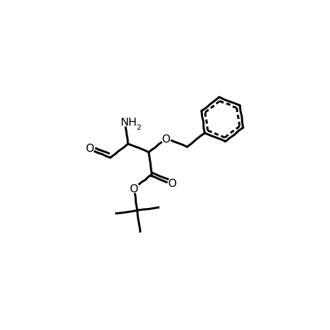 CC(C)(C)OC(=O)C(OCc1ccccc1)C(N)C=O